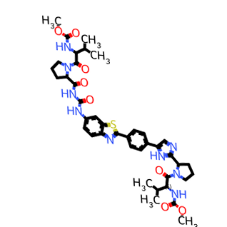 COC(=O)NC(C(=O)N1CCCC1C(=O)NC(=O)Nc1ccc2nc(-c3ccc(-c4cnc(C5CCCN5C(=O)[C@@H](NC(=O)OC)C(C)C)[nH]4)cc3)sc2c1)C(C)C